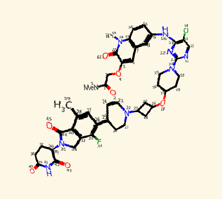 CNC(=O)COc1cc2cc(Nc3nc(N4CCC(OC5CC(N6CCC(c7cc(C)c8c(c7F)CN([C@@H]7CCC(=O)NC7=O)C8=O)CC6)C5)CC4)ncc3Cl)ccc2n(C(C)C)c1=O